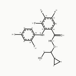 O=C(NOC(CO)C1CC1)c1cc(F)c(F)c(F)c1Nc1ccc(I)cc1F